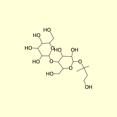 CC(C)(CCO)OC1OC(CO)C(OC2OC(CO)C(O)C(O)C2O)C(O)C1O